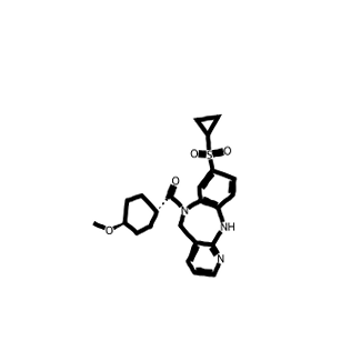 CO[C@H]1CC[C@H](C(=O)N2Cc3cccnc3Nc3ccc(S(=O)(=O)C4CC4)cc32)CC1